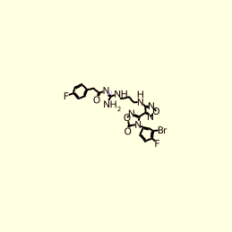 N/C(=N\C(=O)Cc1ccc(F)cc1)NCCCNc1nonc1-c1noc(=O)n1-c1ccc(F)c(Br)c1